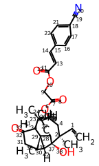 C=C[C@]1(C)C[C@@H](OC(=O)COC(=O)/C=C/c2ccc(C#N)cc2)[C@]2(C)[C@H](C)CC3[C@]4(CCC(=O)[C@H]42)[C@@H](C)[C@]31O